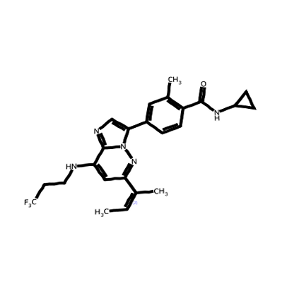 C/C=C(/C)c1cc(NCCC(F)(F)F)c2ncc(-c3ccc(C(=O)NC4CC4)c(C)c3)n2n1